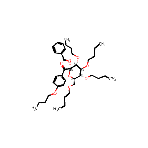 CCCCOC[C@H]1O[C@@](OCc2ccccc2)(C(=O)c2ccc(OCCCC)cc2)[C@H](OCCCC)[C@@H](OCCCC)[C@@H]1OCCCC